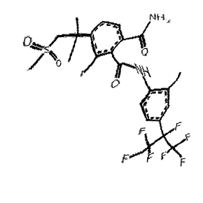 Cc1cc(C(F)(C(F)(F)F)C(F)(F)F)ccc1NC(=O)c1c(C(N)=O)ccc(C(C)(C)CS(C)(=O)=O)c1I